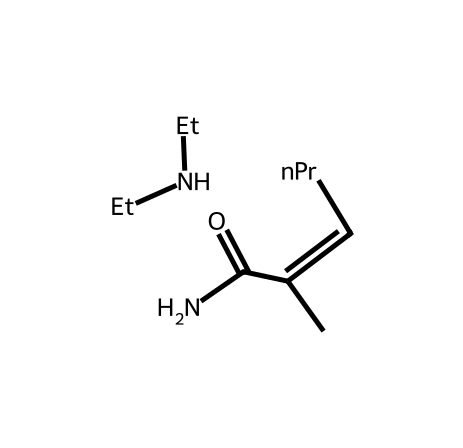 CCCC=C(C)C(N)=O.CCNCC